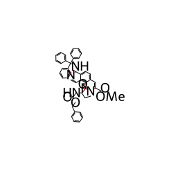 COC(=O)C(=Cc1ccc2c(NC(c3ccccc3)(c3ccccc3)c3ccccc3)nccc2c1F)N1CCC(NC(=O)OCc2ccccc2)C1=O